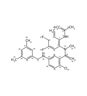 C=C/C(NC(=C)C)=C(\C=C(\F)CF)N(C)C(=C)c1cc(NCc2cc(C)cc(C)c2)ccc1Cl